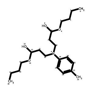 CCCCOC(O)CCN(CCC(O)OCCCC)c1ccc(C)cc1